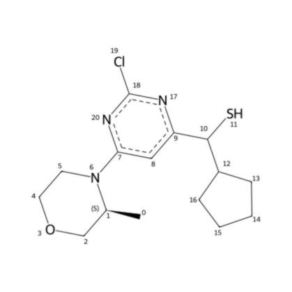 C[C@H]1COCCN1c1cc(C(S)C2CCCC2)nc(Cl)n1